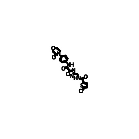 O=C(Nc1ccc(N2CCOCC2=O)cc1)c1nc(CNC(=O)c2ccc(Cl)s2)no1